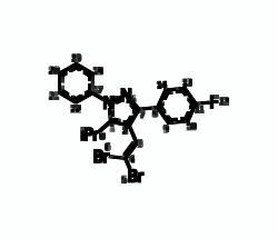 CC(C)c1c(C=C(Br)Br)c(-c2ccc(F)cc2)nn1-c1ccccc1